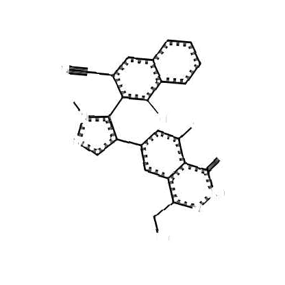 CCc1n[nH]c(=O)c2c(Cl)cc(-c3cnn(C)c3-c3c(C#N)cc4ccccc4c3Cl)cc12